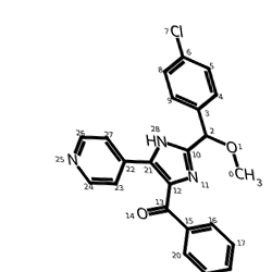 COC(c1ccc(Cl)cc1)c1nc(C(=O)c2ccccc2)c(-c2ccncc2)[nH]1